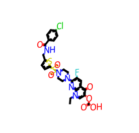 CCn1cc(OC(=O)O)c(=O)c2cc(F)c(N3CCN(S(=O)(=O)c4ccc(CNC(=O)c5ccc(Cl)cc5)s4)CC3)nc21